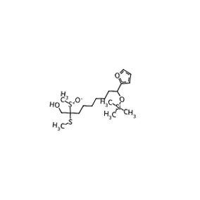 CSC(CO)(CCCCCCC(O[Si](C)(C)C)c1ccco1)[S+](C)[O-]